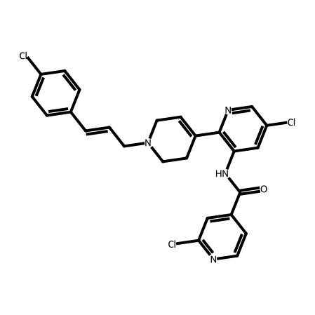 O=C(Nc1cc(Cl)cnc1C1=CCN(C/C=C/c2ccc(Cl)cc2)CC1)c1ccnc(Cl)c1